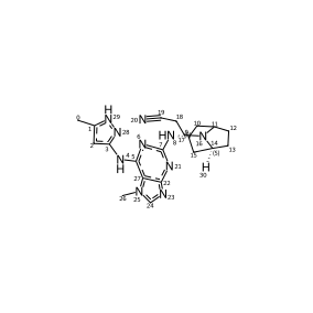 Cc1cc(Nc2nc(N[C@@H]3CC4CC[C@@H](C3)N4CCC#N)nc3ncn(C)c23)n[nH]1